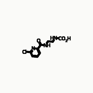 O=C(O)NCCNC(=O)c1cccc(Cl)n1